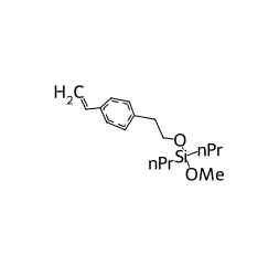 C=Cc1ccc(CCO[Si](CCC)(CCC)OC)cc1